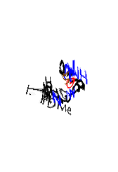 COCC[C@H]1[C@H](Cn2cc(-c3ccc(N4CCc5cccc(C(=O)Nc6nc7ccccc7s6)c5C4)nc3C(=O)O)cn2)C[C@H]2C[C@H]1C2(C)C